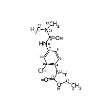 CC1CN(c2ccc(NC(=O)N(C)C)cc2Cl)C(=O)O1